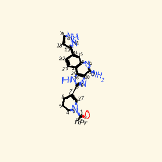 CCCC(=O)N1CCC[C@@H](c2nc3c(N)nc4cc(-c5cc[nH]n5)ccc4c3[nH]2)C1